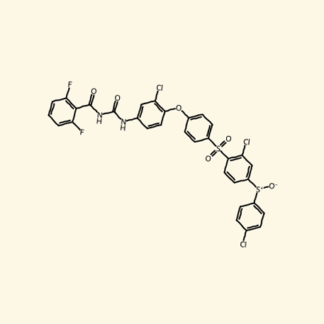 O=C(NC(=O)c1c(F)cccc1F)Nc1ccc(Oc2ccc(S(=O)(=O)c3ccc([S+]([O-])c4ccc(Cl)cc4)cc3Cl)cc2)c(Cl)c1